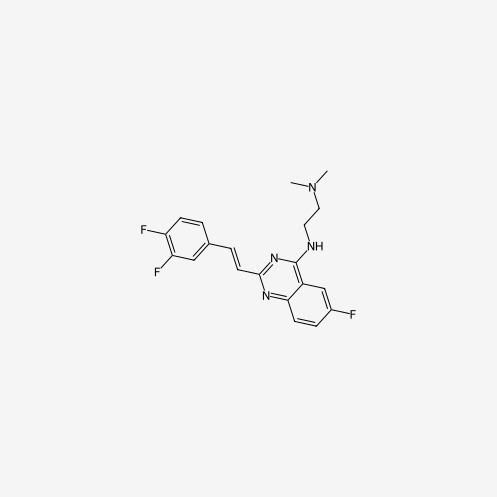 CN(C)CCNc1nc(C=Cc2ccc(F)c(F)c2)nc2ccc(F)cc12